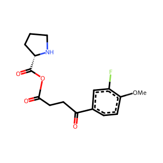 COc1ccc(C(=O)CCC(=O)OC(=O)[C@@H]2CCCN2)cc1F